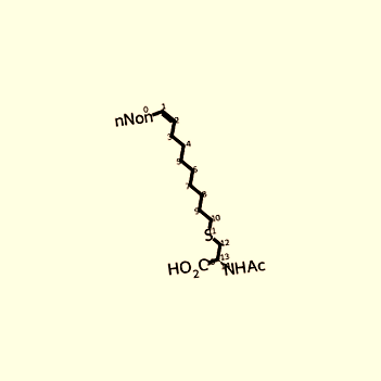 CCCCCCCCC/C=C\CCCCCCCCSC[C@H](NC(C)=O)C(=O)O